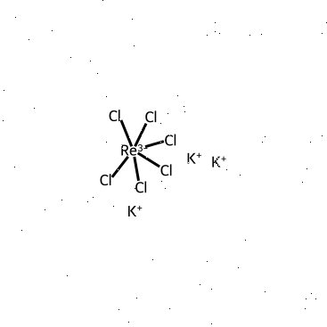 [Cl][Re-3]([Cl])([Cl])([Cl])([Cl])[Cl].[K+].[K+].[K+]